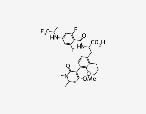 COc1cc(C)n(C)c(=O)c1-c1ccc(CC(NC(=O)c2c(F)cc(NC(C)C(F)(F)F)cc2F)C(=O)O)c2c1OCCC2